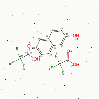 O=C(O)C(F)(F)F.O=C(O)C(F)(F)F.Oc1ccc2ccccc2c1